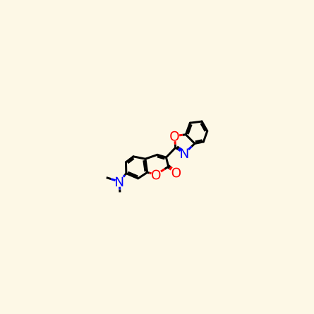 CN(C)c1ccc2cc(-c3nc4ccccc4o3)c(=O)oc2c1